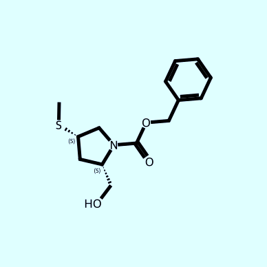 CS[C@H]1C[C@@H](CO)N(C(=O)OCc2ccccc2)C1